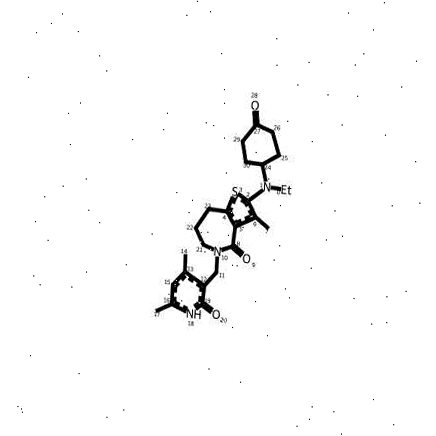 CCN(c1sc2c(c1C)C(=O)N(Cc1c(C)cc(C)[nH]c1=O)CCC2)C1CCC(=O)CC1